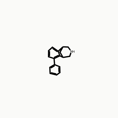 c1ccc(-c2cccc3c2C2CNCC3C2)cc1